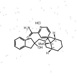 CO[C@]1(c2ccnc(C(N)=O)c2)[C@@H]2CCC[C@H]1CN(CC1(O)Cc3ccccc3C1)C2.Cl